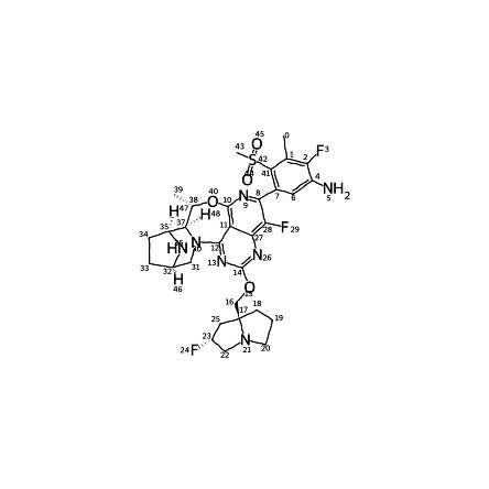 Cc1c(F)c(N)cc(-c2nc3c4c(nc(OC[C@@]56CCCN5C[C@H](F)C6)nc4c2F)N2C[C@H]4CC[C@H](N4)[C@H]2[C@H](C)O3)c1S(C)(=O)=O